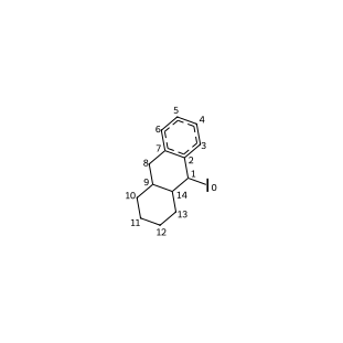 IC1c2ccccc2CC2CCCCC21